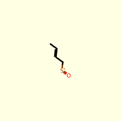 CC=CC[S+]=O